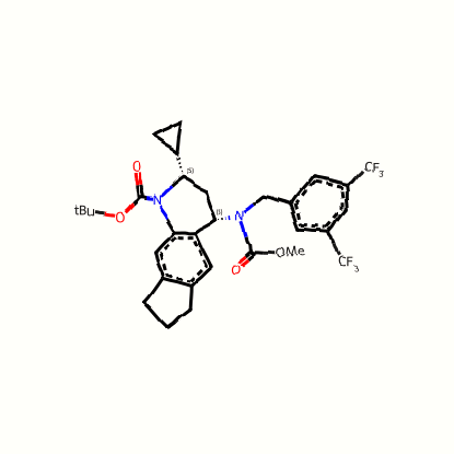 COC(=O)N(Cc1cc(C(F)(F)F)cc(C(F)(F)F)c1)[C@H]1C[C@@H](C2CC2)N(C(=O)OC(C)(C)C)c2cc3c(cc21)CCC3